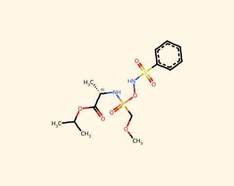 COCP(=O)(N[C@@H](C)C(=O)OC(C)C)ONS(=O)(=O)c1ccccc1